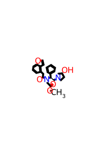 COC(=O)CN(C(=O)Cc1cccc2occc12)[C@H](CN1CC[C@H](O)C1)c1ccccc1